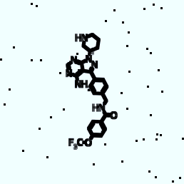 Nc1ncnc2c1c(-c1ccc(CNC(=O)c3ccc(OC(F)(F)F)cc3)cc1)nn2[C@@H]1CCCNC1